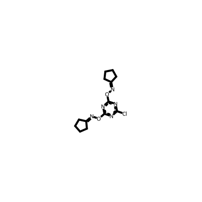 Clc1nc(ON=C2CCCC2)nc(ON=C2CCCC2)n1